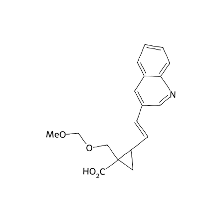 COCOCC1(C(=O)O)CC1/C=C/c1cnc2ccccc2c1